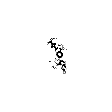 COC(=O)C1CC(C(=O)N(C)[C@@H](c2ccc(Nc3cnc4nc(Cl)nn4c3[C@H](C)OC)cc2)C(F)(F)F)C1